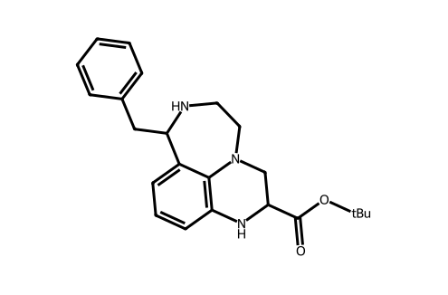 CC(C)(C)OC(=O)C1CN2CCNC(Cc3ccccc3)c3cccc(c32)N1